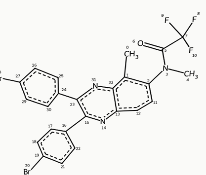 Cc1c(N(C)C(=O)C(F)(F)F)ccc2nc(-c3ccc(Br)cc3)c(-c3ccc(Br)cc3)nc12